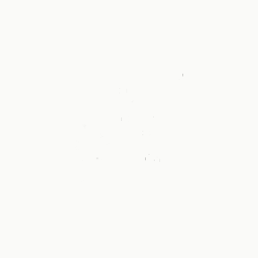 O=C1C=CC(=O)C(C(=O)Oc2cccc3cc4ccccc4cc23)=C1.[Co]